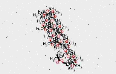 CCC(C)(C)C(=O)OCCC[Si](C)(C)O[Si](C)(C)O[Si](C)(C)O[Si](C)(C)O[Si](C)(C)O[Si](C)(C)O[Si](C)(C)O[Si](C)(C)O[Si](C)(C)O[Si](C)(C)O[Si](C)(C)O[Si](C)(C)O[Si](C)(C)O[Si](C)(C)O[Si](C)(C)O[Si](C)(C)O[Si](C)(C)O[Si](C)(C)O[Si](C)(C)O[Si](C)(C)O[Si](C)(C)O[Si](C)(C)O[Si](C)(C)O[Si](C)(C)O[Si](C)(C)O[Si](C)(C)C